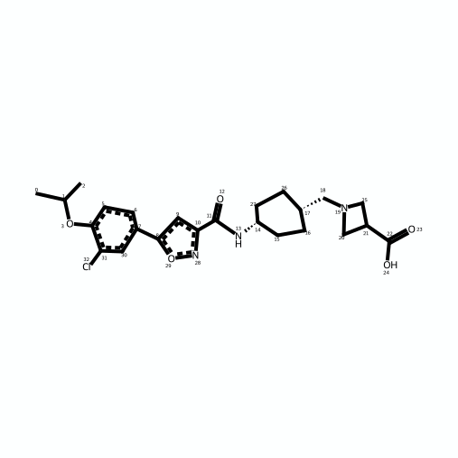 CC(C)Oc1ccc(-c2cc(C(=O)N[C@H]3CC[C@@H](CN4CC(C(=O)O)C4)CC3)no2)cc1Cl